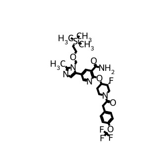 Cc1ncc(-c2cnc(OC3CCN(C(=O)Cc4ccc(OC(F)(F)F)cc4)C[C@H]3F)c(C(N)=O)c2)n1COCC[Si](C)(C)C